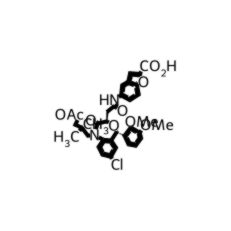 COc1cccc([C@H]2O[C@H](CC(=O)Nc3ccc4oc(C(=O)O)cc4c3)C(=O)N(CC(C)(C)COC(C)=O)c3ccc(Cl)cc32)c1OC